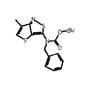 Cc1csc2c(N(Cc3ccccc3)C(=O)OC(C)(C)C)snc12